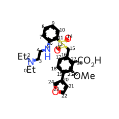 CCN(CC)CCNc1ccccc1S(=O)(=O)Cc1ccc(-c2ccoc2)c(OC)c1C(=O)O